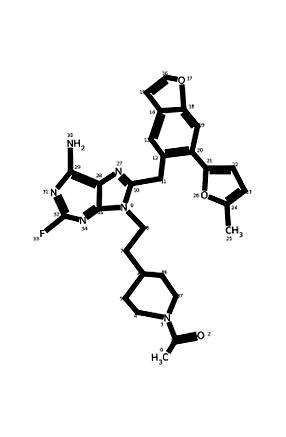 CC(=O)N1CCC(CCn2c(Cc3cc4ccoc4cc3-c3ccc(C)o3)nc3c(N)nc(F)nc32)CC1